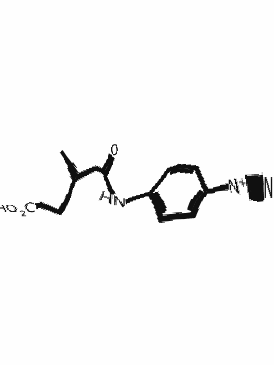 CC(CC(=O)O)C(=O)Nc1ccc([N+]#N)cc1